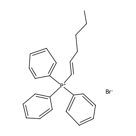 CCCCC=C[P+](c1ccccc1)(c1ccccc1)c1ccccc1.[Br-]